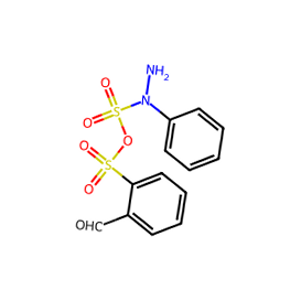 NN(c1ccccc1)S(=O)(=O)OS(=O)(=O)c1ccccc1C=O